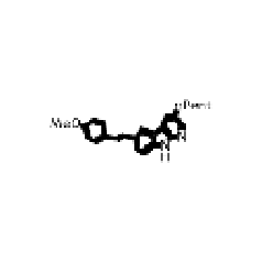 CCCCCc1cnc2[nH]c3ccc(/C=C/c4ccc(OC)cc4)cc3c2c1